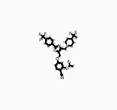 N#Cc1ccc(OCc2sc(-c3ccc(C(F)(F)F)cc3)nc2CN2CCC(C(F)(F)F)CC2)cc1OC(F)F